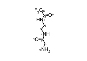 NCC(=O)NCCNC(=O)C(F)(F)F